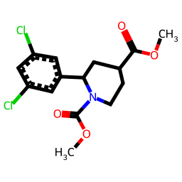 COC(=O)C1CCN(C(=O)OC)C(c2cc(Cl)cc(Cl)c2)C1